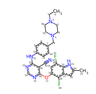 CCN1CCN(Cc2ccc(Nc3ncnc(Oc4cc(F)c5[nH]c(C)cc5c4F)c3C#N)cc2)CC1